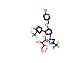 Cn1nc(C(F)(F)F)cc1-c1ccc(OCc2ccc(Cl)cc2)c(-c2ccc(Cl)c(C(F)(F)F)c2)c1OC(=O)C(O)C(O)CO